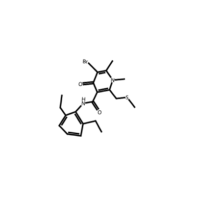 CCc1cccc(CC)c1NC(=O)c1c(CSC)n(C)c(C)c(Br)c1=O